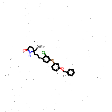 CSCC1(CCCc2ccc(Sc3cccc(OCc4ccccc4)c3)cc2Cl)CCC(=O)N1